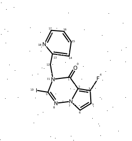 O=c1c2c(F)ccn2nc(I)n1Cc1ccccn1